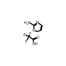 NC1=NC=CCO1.O=C(O)C(F)(F)F